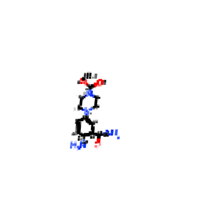 CC(C)(C)OC(=O)N1CCN(c2ccc(N)c(C(N)=O)c2)CC1